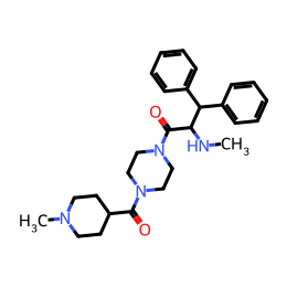 CNC(C(=O)N1CCN(C(=O)C2CCN(C)CC2)CC1)C(c1ccccc1)c1ccccc1